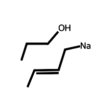 CC=C[CH2][Na].CCCO